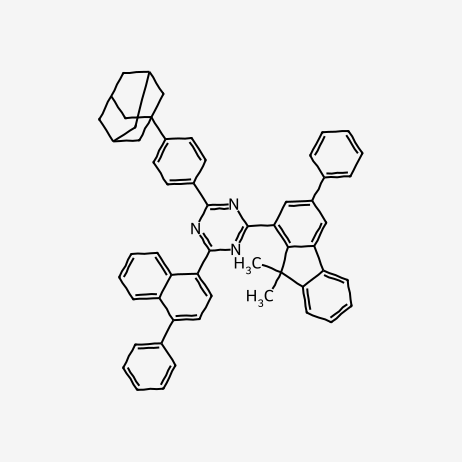 CC1(C)c2ccccc2-c2cc(-c3ccccc3)cc(-c3nc(-c4ccc(C56CC7CC(CC(C7)C5)C6)cc4)nc(-c4ccc(-c5ccccc5)c5ccccc45)n3)c21